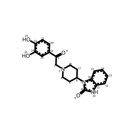 O=C(CN1CCC(n2c(=O)[nH]c3ccccc32)CC1)c1ccc(O)c(O)c1